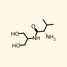 CC(C)[C@H](N)C(=O)NC(CO)CO